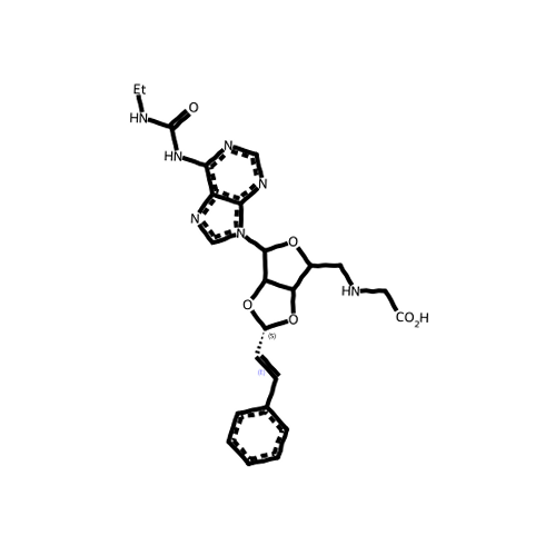 CCNC(=O)Nc1ncnc2c1ncn2C1OC(CNCC(=O)O)C2O[C@H](/C=C/c3ccccc3)OC21